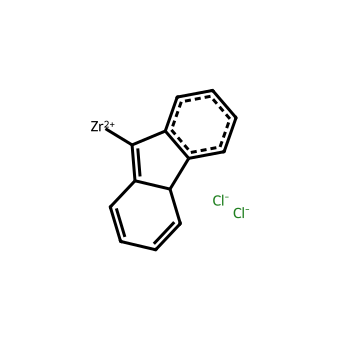 [Cl-].[Cl-].[Zr+2][C]1=C2C=CC=CC2c2ccccc21